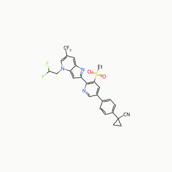 CCS(=O)(=O)c1cc(-c2ccc(C3(C#N)CC3)cc2)cnc1-c1cc2n(CC(F)F)cc(C(F)(F)F)cc-2n1